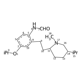 CC(C)Oc1ccc(NC=O)c(CCC2CCC(C(C)C)CN2C)c1